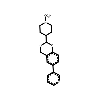 O=C(O)N1CCC(C2OCc3cc(-c4cccnc4)ccc3O2)CC1